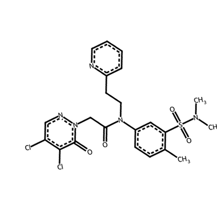 Cc1ccc(N(CCc2ccccn2)C(=O)Cn2ncc(Cl)c(Cl)c2=O)cc1S(=O)(=O)N(C)C